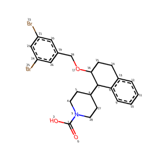 O=C(O)N1CCC(C2c3ccccc3CCC2OCc2cc(Br)cc(Br)c2)CC1